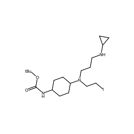 CC(C)(C)OC(=O)NC1CCC(N(CCI)CCCNC2CC2)CC1